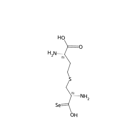 N[C@@H](CCSC[C@H](N)C(O)=[Se])C(=O)O